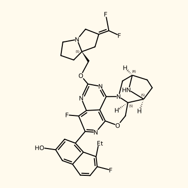 CCc1c(F)ccc2cc(O)cc(-c3nc4c5c(nc(OC[C@@]67CCCN6CC(=C(F)F)C7)nc5c3F)N3C[C@H]5CC[C@H](N5)[C@H]3CO4)c12